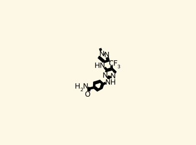 Cn1cc(Nc2nc(Nc3ccc(C(N)=O)cc3)ncc2C(F)(F)F)cn1